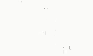 COC(=O)NC(CCC=O)C(=O)[O-].[Li+]